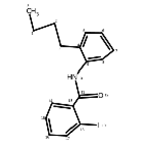 CCCCc1ccccc1NC(=O)c1ccccc1I